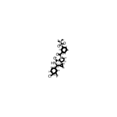 CN(C)S(=O)(=O)c1cccc(C(=O)N2CCC[C@@H]2C(=O)NC(c2ccc(Cl)c(F)c2)C2CC2)c1